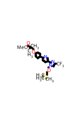 COC(=O)C(C)(C)COc1ccc(-c2ccc(-c3nc(C(F)(F)F)cn3COCCS(C)(C)C)cn2)cc1